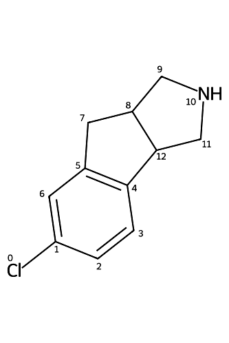 Clc1ccc2c(c1)CC1CNCC21